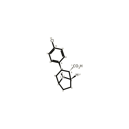 CN1C2CC[C@H]1[C@@H](C(=O)O)[C@H](c1ccc(Cl)cc1)C2